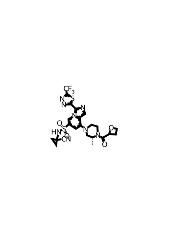 C[C@@H]1CN(c2cc(S(=O)(=O)NC3(C#N)CC3)cn3c(-c4nnc(C(F)(F)F)s4)ncc23)CCN1C(=O)C1CCO1